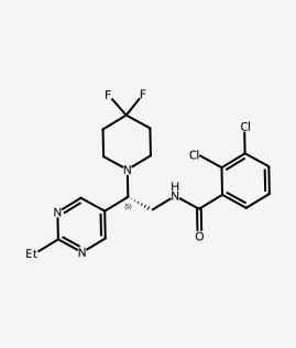 CCc1ncc([C@@H](CNC(=O)c2cccc(Cl)c2Cl)N2CCC(F)(F)CC2)cn1